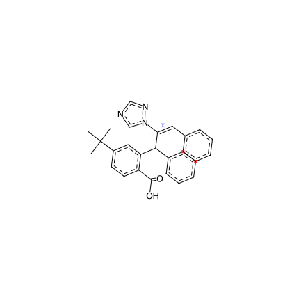 CC(C)(C)c1ccc(C(=O)O)c(C(/C(=C\c2ccccc2)n2cncn2)c2ccccc2)c1